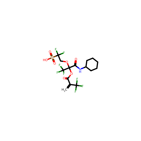 C=C(C(=O)OC(OCC(F)(F)S(=O)(=O)O)(C(=O)NC1CCCCC1)C(F)(F)F)C(F)(F)F